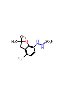 Cc1ccc(NNS(=O)(=O)O)c2c1CC(C)(C)O2